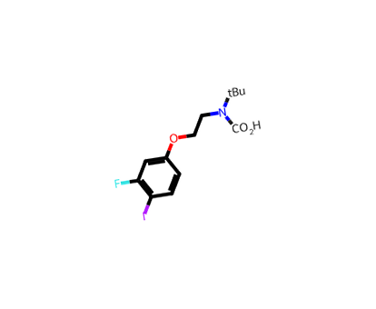 CC(C)(C)N(CCOc1ccc(I)c(F)c1)C(=O)O